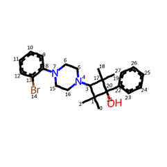 CC1(C)C(N2CCN(c3ccccc3Br)CC2)C(C)(C)C1(O)c1ccccc1